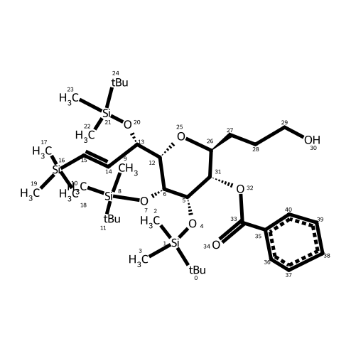 CC(C)(C)[Si](C)(C)O[C@@H]1[C@H](O[Si](C)(C)C(C)(C)C)[C@H]([C@H](C=C[Si](C)(C)C)O[Si](C)(C)C(C)(C)C)O[C@@H](CCCO)[C@@H]1OC(=O)c1ccccc1